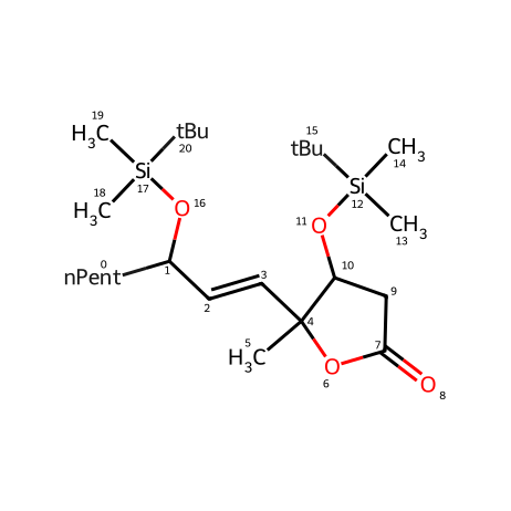 CCCCCC(C=CC1(C)OC(=O)CC1O[Si](C)(C)C(C)(C)C)O[Si](C)(C)C(C)(C)C